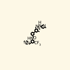 Cc1ccc(Nc2ncc3cc(-c4cccc(C(=O)Nc5cc(CN6CCN(C)CC6)cc(C(F)(F)F)c5)c4)cc(C)c3n2)cn1